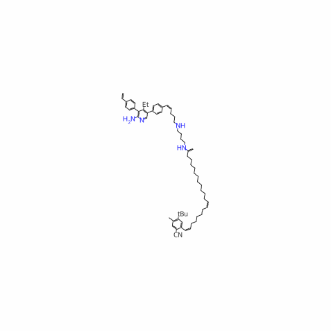 C=Cc1ccc(-c2c(N)ncc(-c3ccc(/C=C\CCCNCCCCNC(=C)CCCCCCCCCCC/C=C\CCCCC/C=C\c4cc(C(C)(C)C)c(C)cc4C#N)cc3)c2CC)cc1